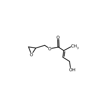 CC(=CCO)C(=O)OCC1CO1